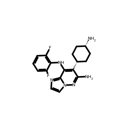 Nc1nn2ccnc2c(Nc2c(F)cccc2F)c1[C@H]1CC[C@@H](N)CC1